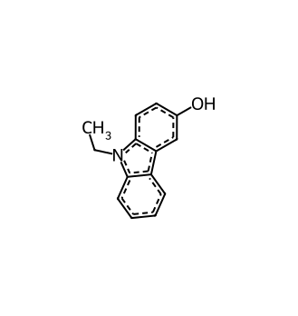 CCn1c2ccccc2c2cc(O)ccc21